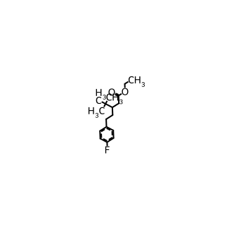 CCOC(=O)CC(CCc1ccc(F)cc1)C(C)(C)C